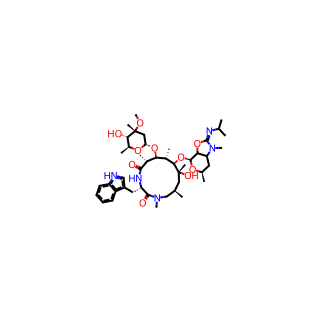 CO[C@]1(C)C[C@H](O[C@H]2[C@H](C)[C@@H](O[C@@H]3O[C@H](C)CC4C3O/C(=N/C(C)C)N4C)[C@](C)(O)C[C@@H](C)CN(C)C(=O)[C@H](Cc3c[nH]c4ccccc34)NC(=O)[C@@H]2C)O[C@@H](C)[C@@H]1O